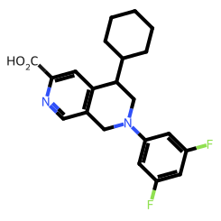 O=C(O)c1cc2c(cn1)CN(c1cc(F)cc(F)c1)CC2C1CCCCC1